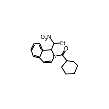 CCC(C1c2ccccc2C=CN1C(=O)C1CCCCC1)[N+](=O)[O-]